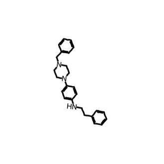 c1ccc(CCNc2ccc(N3CCN(Cc4ccccc4)CC3)cc2)cc1